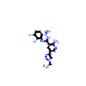 N=N/N=C(\Nc1cccc(F)c1F)c1cc(-c2cn(CC(F)(F)F)nn2)cnc1N